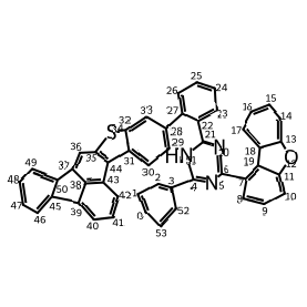 c1ccc(C2=NC(c3cccc4oc5ccccc5c34)=NC(c3ccccc3-c3ccc4c(c3)sc3cc5c6c(cccc6c34)-c3ccccc3-5)N2)cc1